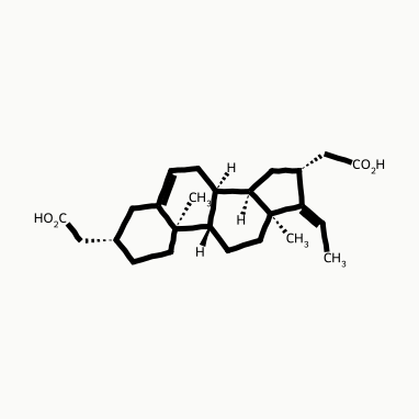 CC=C1[C@@H](CC(=O)O)C[C@@H]2[C@@H]3CC=C4C[C@@H](CC(=O)O)CC[C@]4(C)[C@H]3CC[C@]12C